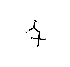 CN(C)[CH]C(F)(F)F